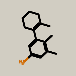 CC1=C(c2cc(P)cc(C)c2C)CCCC1